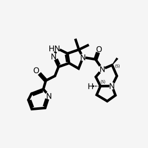 C[C@H]1CN2CCC[C@H]2CN1C(=O)N1Cc2c(CC(=O)c3ccccn3)n[nH]c2C1(C)C